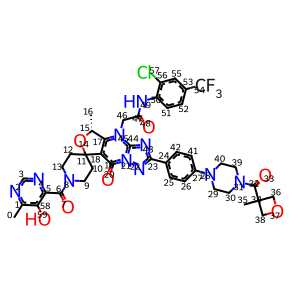 Cc1ncnc(C(=O)N2CCC3(CC2)O[C@H](C)c2c3c(=O)n3nc(-c4ccc(N5CCN(C(=O)C6(C)COC6)CC5)cc4)nc3n2CC(=O)Nc2ccc(C(F)(F)F)cc2Cl)c1O